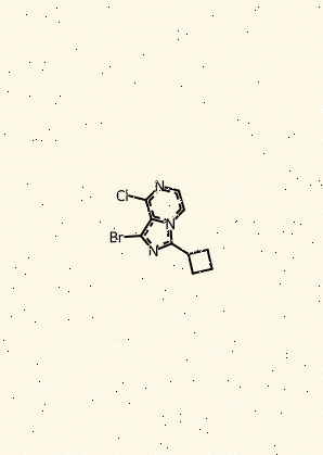 Clc1nccn2c(C3CCC3)nc(Br)c12